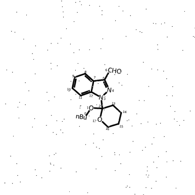 CCCCOC1(n2nc(C=O)c3ccccc32)CCCCO1